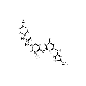 CC(=O)Oc1cc(Nc2cc(C)nc(Oc3ccc(NC(=O)NC4CCN(C(C)=O)CC4)cc3C(F)(F)F)n2)[nH]n1